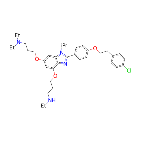 CCNCCCOc1cc(OCCCN(CC)CC)cc2c1nc(-c1ccc(OCCc3ccc(Cl)cc3)cc1)n2C(C)C